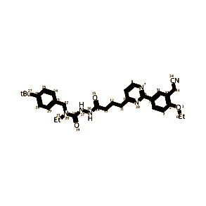 CCOc1ccc(-c2nccc(CCCC(=O)NNC(=O)N(CC)Cc3ccc(C(C)(C)C)cc3)n2)cc1CC#N